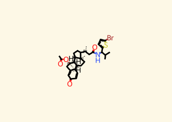 CC(=O)O[C@@H]1CC2=CC(=O)C=C[C@]2(C)[C@H]2CC[C@]3(C)C([C@H](C)CC(=O)NC(c4ccc(Br)s4)C(C)C)CC[C@H]3[C@H]12